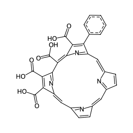 O=C(O)C1=C2N=C(C=C3C=CC(=N3)C=C3C=CC(=N3)C=C3N=C1C(C(=O)O)=C3C(=O)O)C(c1ccccc1)=C2C(=O)O